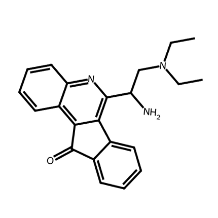 CCN(CC)CC(N)c1nc2ccccc2c2c1-c1ccccc1C2=O